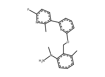 Cc1cccc(N(C)N)c1COc1cccc(-c2ccc(F)nc2C)n1